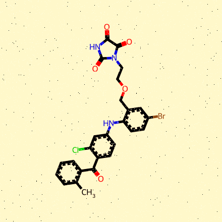 Cc1ccccc1C(=O)c1ccc(Nc2ccc(Br)cc2COCCN2C(=O)NC(=O)C2=O)cc1Cl